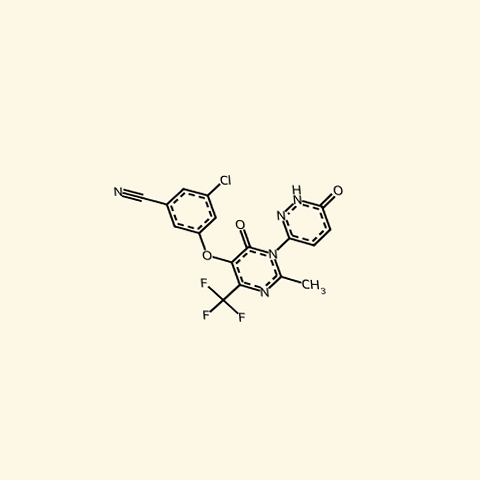 Cc1nc(C(F)(F)F)c(Oc2cc(Cl)cc(C#N)c2)c(=O)n1-c1ccc(=O)[nH]n1